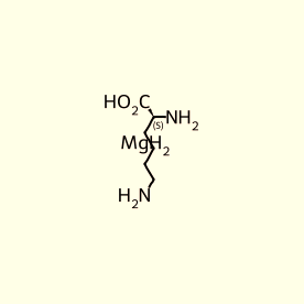 NCCCC[C@H](N)C(=O)O.[MgH2]